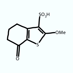 COc1sc2c(c1S(=O)(=O)O)CCCC2=O